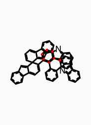 C1=CC2(C3=Cc4ccccc4C3=C1)C1=Cc3ccccc3C1=CC=C2c1ccc2c(c1-c1ccccc1-c1ccccc1-c1ccccc1)-c1c3c(ccc1=N2)=c1ccccc1=N3